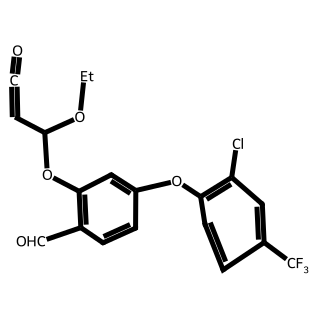 CCOC(C=C=O)Oc1cc(Oc2ccc(C(F)(F)F)cc2Cl)ccc1C=O